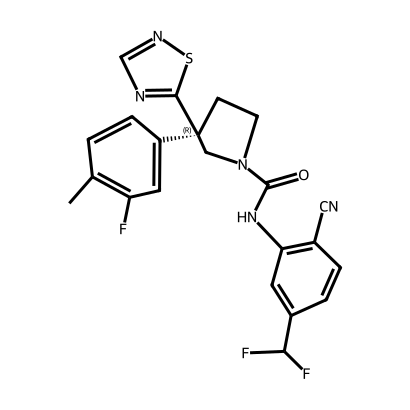 Cc1ccc([C@]2(c3ncns3)CCN(C(=O)Nc3cc(C(F)F)ccc3C#N)C2)cc1F